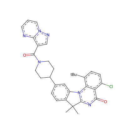 CC(C)(C)c1ccc(Cl)c2c(=O)nc3n(c12)-c1cc(C2CCN(C(=O)c4cnn5cccnc45)CC2)ccc1C3(C)C